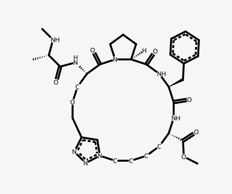 CN[C@@H](C)C(=O)N[C@H]1COCc2cn(nn2)CCCC[C@@H](C(=O)OC)NC(=O)[C@H](Cc2ccccc2)NC(=O)[C@@H]2CCCN2C1=O